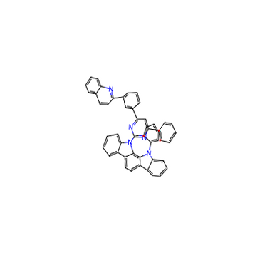 c1ccc(-c2cc(-c3cccc(-c4ccc5ccccc5n4)c3)nc(-n3c4ccccc4c4ccc5c6ccccc6n(-c6ccccc6)c5c43)n2)cc1